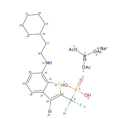 CC(=O)O[BH-](OC(C)=O)OC(C)=O.O=P(O)(O)C(F)(F)c1sc2c(NCCC3CCCCC3)cccc2c1Br.[Na+]